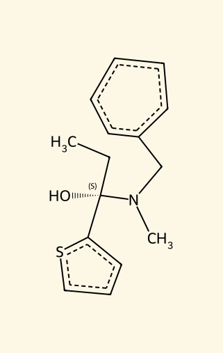 CC[C@](O)(c1cccs1)N(C)Cc1ccccc1